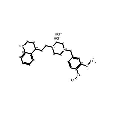 COc1ccc(CN2CCN(CCC3CCOc4ccccc43)CC2)cc1OC.Cl.Cl